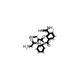 CC(C)C[C@@H](NC(=O)CN)C(=O)N(C(=O)c1cccc(C(=N)N)c1)c1ccccc1